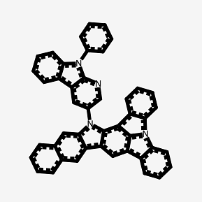 c1ccc(-n2c3ccccc3c3cc(-n4c5cc6ccccc6cc5c5cc6c7ccccc7n7c8ccccc8c(c54)c67)cnc32)cc1